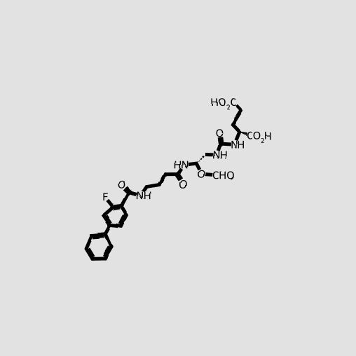 O=CO[C@@H](CNC(=O)N[C@@H](CCC(=O)O)C(=O)O)NC(=O)CCCNC(=O)c1ccc(-c2ccccc2)cc1F